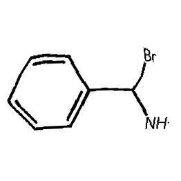 [NH]C(Br)c1ccccc1